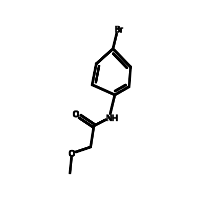 COCC(=O)Nc1ccc(Br)cc1